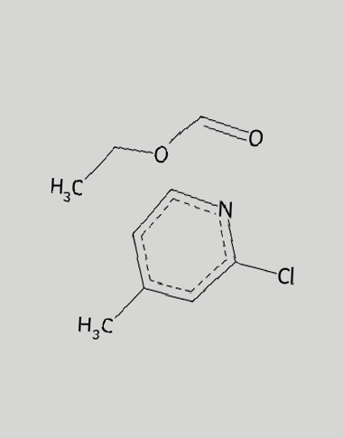 CCOC=O.Cc1ccnc(Cl)c1